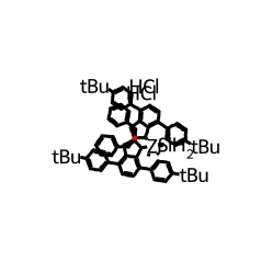 CC(C)(C)c1ccc(-c2ccc(-c3ccc(C(C)(C)C)cc3)c3c2C=C(Cc2ccccc2)[CH]3[Zr]([CH3])([CH3])(=[SiH2])[CH]2C(Cc3ccccc3)=Cc3c(-c4ccc(C(C)(C)C)cc4)ccc(-c4ccc(C(C)(C)C)cc4)c32)cc1.Cl.Cl